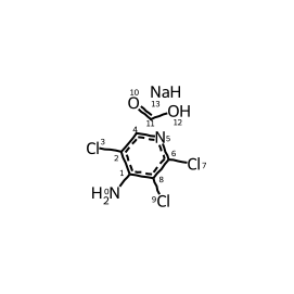 Nc1c(Cl)cnc(Cl)c1Cl.O=CO.[NaH]